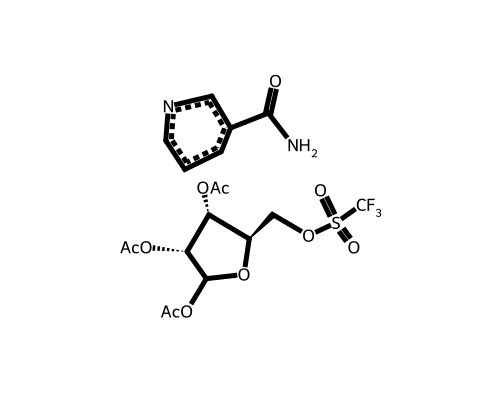 CC(=O)OC1O[C@H](COS(=O)(=O)C(F)(F)F)[C@@H](OC(C)=O)[C@H]1OC(C)=O.NC(=O)c1cccnc1